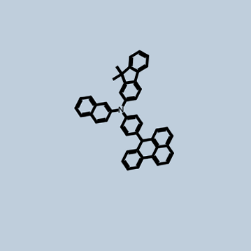 CC1(C)c2ccccc2-c2ccc(N(c3ccc(C4c5ccccc5-c5cccc6cccc4c56)cc3)c3ccc4ccccc4c3)cc21